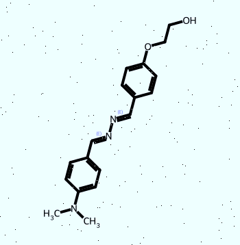 CN(C)c1ccc(/C=N/N=C/c2ccc(OCCO)cc2)cc1